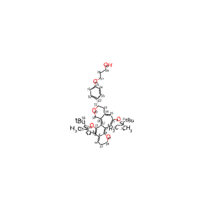 CC(C)(C)[Si](C)(C)OC1=Cc2c3c(cc(O[Si](C)(C)C(C)(C)C)c2=C2CO[C@H](c4ccc(OCCCO)cc4)CC2=C1)=CCCO3